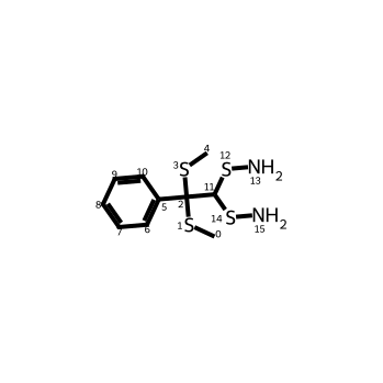 CSC(SC)(c1ccccc1)C(SN)SN